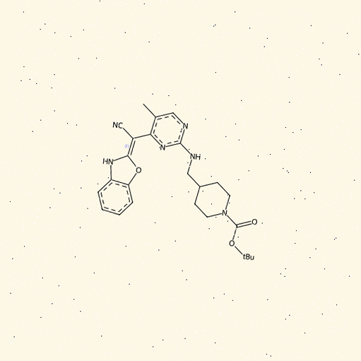 Cc1cnc(NCC2CCN(C(=O)OC(C)(C)C)CC2)nc1/C(C#N)=C1/Nc2ccccc2O1